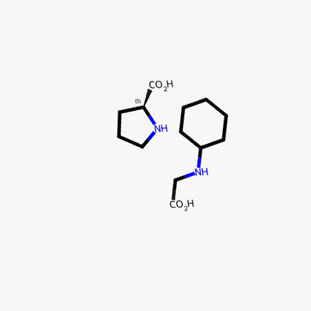 O=C(O)CNC1CCCCC1.O=C(O)[C@@H]1CCCN1